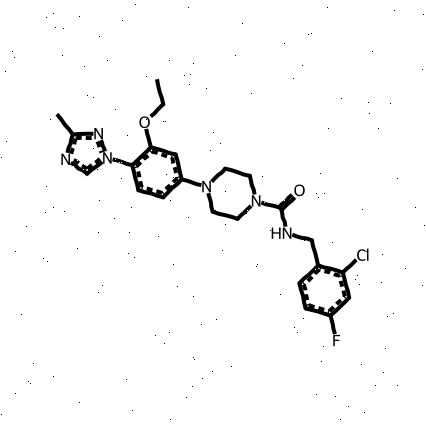 CCOc1cc(N2CCN(C(=O)NCc3ccc(F)cc3Cl)CC2)ccc1-n1cnc(C)n1